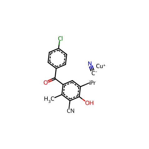 Cc1c(C(=O)c2ccc(Cl)cc2)cc(C(C)C)c(O)c1C#N.[C-]#N.[Cu+]